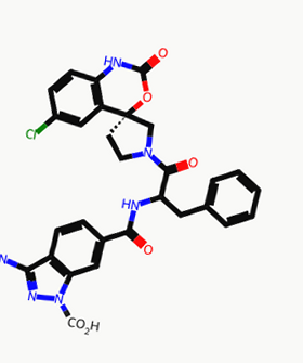 Nc1nn(C(=O)O)c2cc(C(=O)NC(Cc3ccccc3)C(=O)N3CC[C@@]4(C3)OC(=O)Nc3ccc(Cl)cc34)ccc12